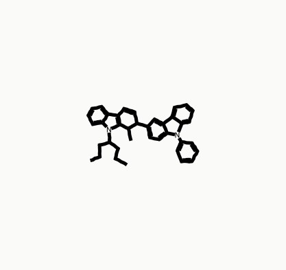 CCCC(CCC)n1c2c(c3ccccc31)C=CC(c1ccc3c(c1)c1ccccc1n3-c1ccccc1)C2C